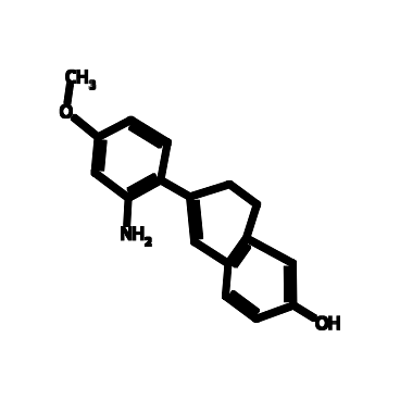 COc1ccc(C2=Cc3ccc(O)cc3CC2)c(N)c1